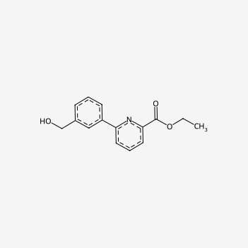 CCOC(=O)c1cccc(-c2cccc(CO)c2)n1